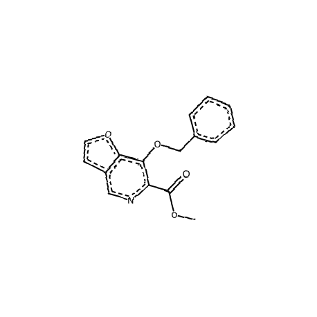 COC(=O)c1ncc2ccoc2c1OCc1ccccc1